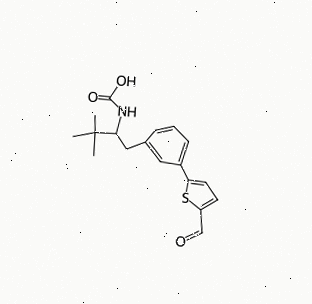 CC(C)(C)C(Cc1cccc(-c2ccc(C=O)s2)c1)NC(=O)O